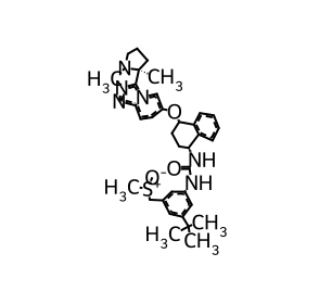 CN1CCC[C@@]1(C)c1nnc2ccc(O[C@@H]3CC[C@H](NC(=O)Nc4cc(C[S+](C)[O-])cc(C(C)(C)C)c4)c4ccccc43)cn12